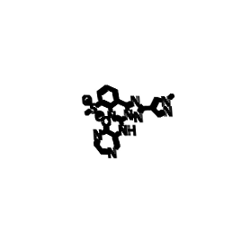 Cn1cc(-c2nc3c4cccc(S(C)(=O)=O)c4nc(Nc4cnccnc4=O)n3n2)cn1